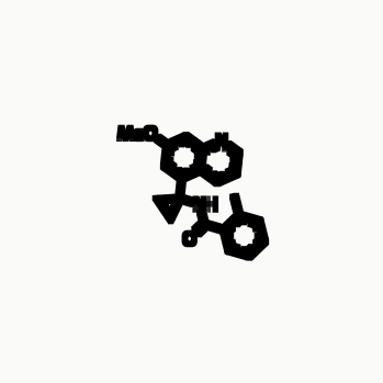 COc1cc(C2(NC(=O)c3ccccc3C)CC2)c2cccnc2c1